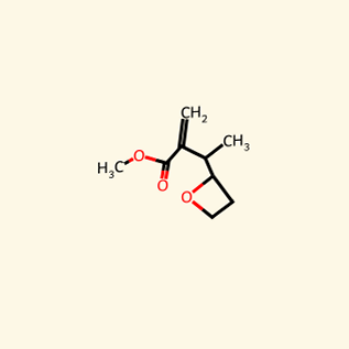 C=C(C(=O)OC)C(C)C1CCO1